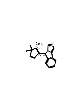 CC1(C)CC[C@H]([C@@H]2c3ccccc3-c3cncn32)[C@H]1O